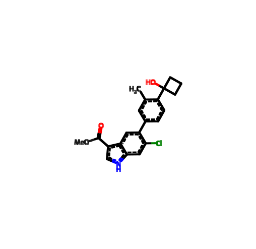 COC(=O)c1c[nH]c2cc(Cl)c(-c3ccc(C4(O)CCC4)c(C)c3)cc12